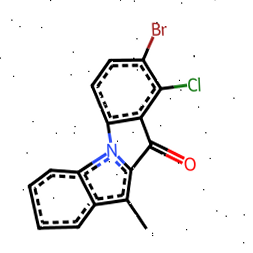 Cc1c2n(c3ccccc13)-c1ccc(Br)c(Cl)c1C2=O